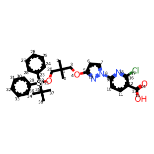 CC(C)(COc1ccn(-c2ccc(C(=O)O)c(Cl)n2)n1)CO[Si](c1ccccc1)(c1ccccc1)C(C)(C)C